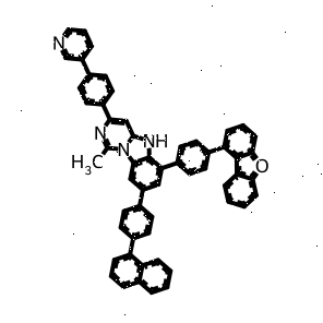 CC1=NC(c2ccc(-c3cccnc3)cc2)=CC2Nc3c(-c4ccc(-c5cccc6oc7ccccc7c56)cc4)cc(-c4ccc(-c5cccc6ccccc56)cc4)cc3N12